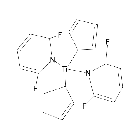 FC1=CC=CC(F)[N]1[Ti]([CH]1C=CC=C1)([CH]1C=CC=C1)[N]1C(F)=CC=CC1F